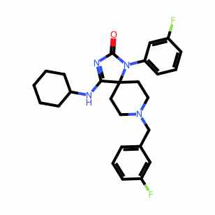 O=C1N=C(NC2CCCCC2)C2(CCN(Cc3cccc(F)c3)CC2)N1c1cccc(F)c1